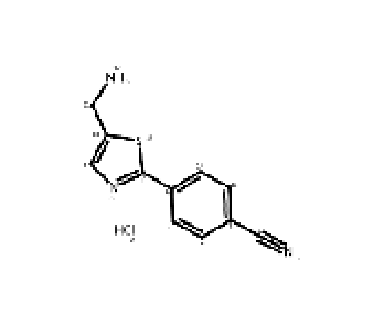 Cl.N#Cc1ccc(-c2ncc(CN)s2)cc1